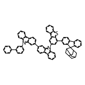 c1ccc(-c2cccc(-n3c4ccccc4c4ccc(-c5ccc6c7ccccc7n(-c7cc(-c8ccc9c(c8)C8(c%10ccccc%10-9)C9CC%10CC(C9)CC8C%10)c8sc9ccccc9c8c7)c6c5)cc43)c2)cc1